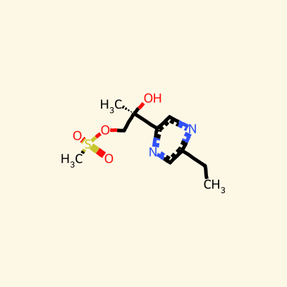 CCc1cnc([C@](C)(O)COS(C)(=O)=O)cn1